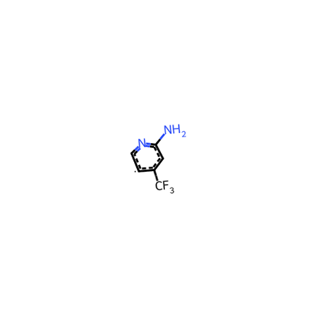 Nc1cc(C(F)(F)F)[c]cn1